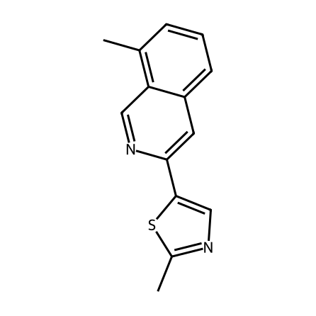 Cc1ncc(-c2cc3cccc(C)c3cn2)s1